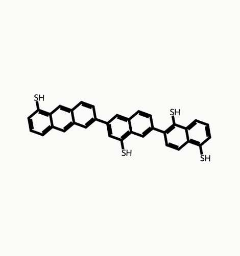 Sc1cc(-c2ccc3cc4c(S)cccc4cc3c2)cc2ccc(-c3ccc4c(S)cccc4c3S)cc12